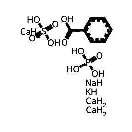 O=C(O)c1ccccc1.O=P(O)(O)O.O=S(=O)(O)O.[CaH2].[CaH2].[CaH2].[KH].[NaH]